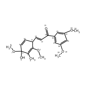 COC1=C(C)C(O)(OC)C=CC1/C=C/C(=O)c1cc(OC)cc(OC)c1